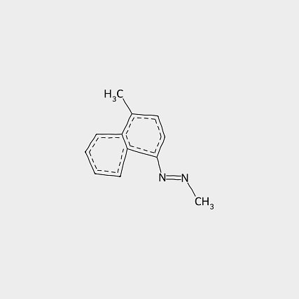 CN=Nc1ccc(C)c2ccccc12